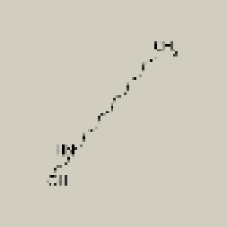 CCCCCCCCCCCCNCCO